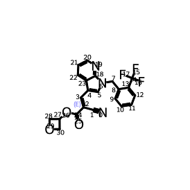 N#C/C(=C\c1cn(Cc2ccccc2C(F)(F)F)c2ncccc12)C(=O)OC1COC1